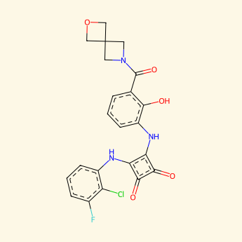 O=C(c1cccc(Nc2c(Nc3cccc(F)c3Cl)c(=O)c2=O)c1O)N1CC2(COC2)C1